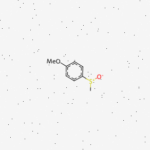 COc1[c]cc([S+](C)[O-])cc1